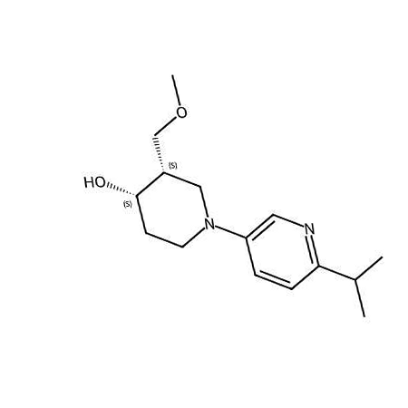 COC[C@@H]1CN(c2ccc(C(C)C)nc2)CC[C@@H]1O